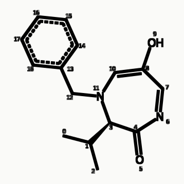 CC(C)[C@@H]1C(=O)N=CC(O)=CN1Cc1ccccc1